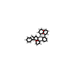 c1ccc(-c2cccc(-c3ccccc3)c2N(c2ccccc2)c2ccc3c(c2)sc2ccccc23)cc1